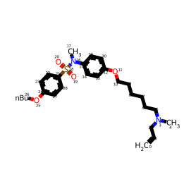 C=CCN(C)CCCCCCOc1ccc(N(C)S(=O)(=O)c2ccc(OCCCC)cc2)cc1